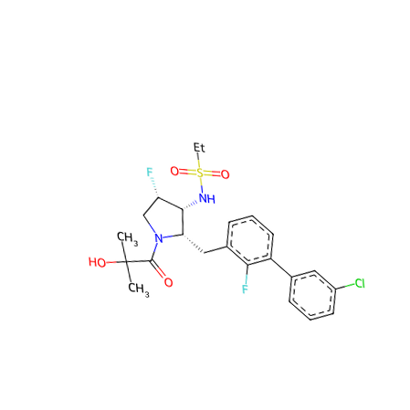 CCS(=O)(=O)N[C@H]1[C@@H](F)CN(C(=O)C(C)(C)O)[C@H]1Cc1cccc(-c2cccc(Cl)c2)c1F